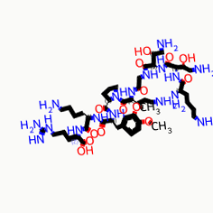 COc1ccc(C[C@H](NC(=O)[C@@H]2CCCN2C(=O)[C@@H](CCCN)NC(=O)CNC(=O)[C@@H](NC(=O)[C@@H](NC(=O)[C@@H](N)CCCCN)[C@@H](O)CN)[C@@H](O)CN)C(=O)N[C@@H](CCCCN)C(=O)N/C(=C\CCNC(=N)N)C(=O)O)cc1OC